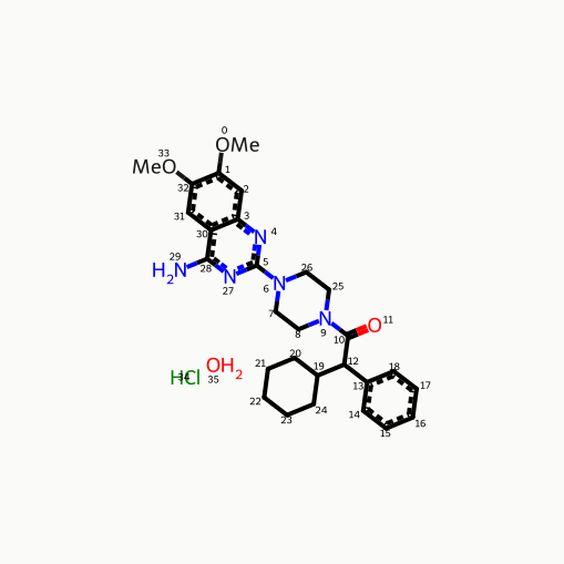 COc1cc2nc(N3CCN(C(=O)C(c4ccccc4)C4CCCCC4)CC3)nc(N)c2cc1OC.Cl.O